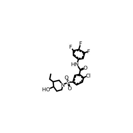 CCC1CN(S(=O)(=O)c2ccc(Cl)c(C(=O)Nc3cc(F)c(F)c(F)c3)c2)CCC1O